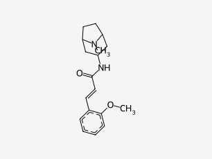 COc1ccccc1C=CC(=O)NC1CC2CCC(C1)N2C